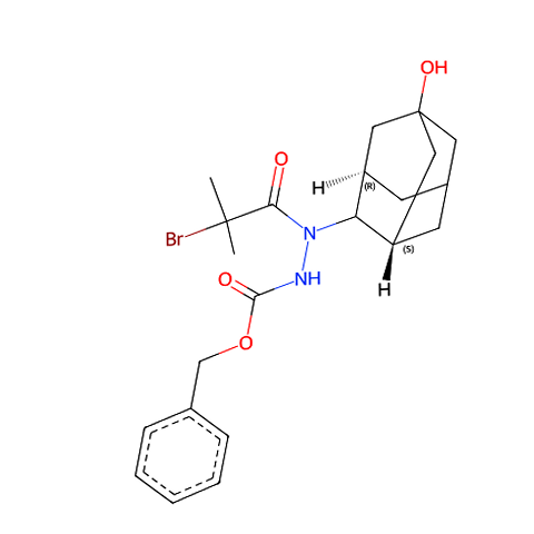 CC(C)(Br)C(=O)N(NC(=O)OCc1ccccc1)C1[C@@H]2CC3C[C@H]1CC(O)(C3)C2